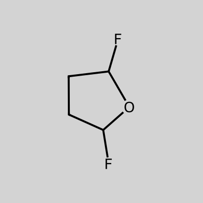 FC1CCC(F)O1